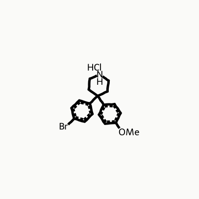 COc1ccc(C2(c3ccc(Br)cc3)CCNCC2)cc1.Cl